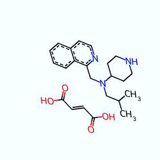 CC(C)CN(Cc1nccc2ccccc12)C1CCNCC1.O=C(O)C=CC(=O)O